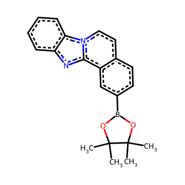 CC1(C)OB(c2ccc3ccn4c5ccccc5nc4c3c2)OC1(C)C